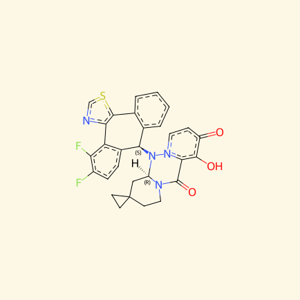 O=C1c2c(O)c(=O)ccn2N([C@@H]2c3ccccc3-c3scnc3-c3c2ccc(F)c3F)[C@@H]2CC3(CCN12)CC3